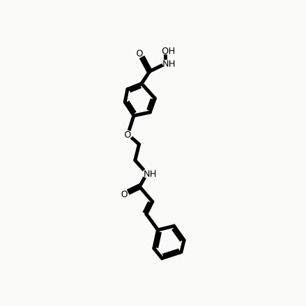 O=C(/C=C/c1ccccc1)NCCOc1ccc(C(=O)NO)cc1